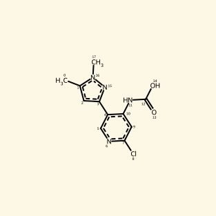 Cc1cc(-c2cnc(Cl)cc2NC(=O)O)nn1C